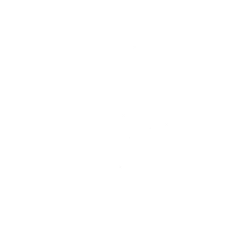 CC(C)(C[O][Ti]([CH2]c1ccccc1)([CH2]c1ccccc1)[O]CC(C)(C)c1ccccc1)c1ccccc1